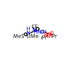 COc1cc(SC)ccc1NCC#Cc1cc2c(NC3CCN(CC(COC(=O)C(C)C)OC(=O)C(C)C)CC3)cccc2n1CC(F)(F)F